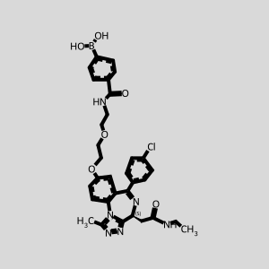 CCNC(=O)C[C@@H]1N=C(c2ccc(Cl)cc2)c2cc(OCCOCCNC(=O)c3ccc(B(O)O)cc3)ccc2-n2c(C)nnc21